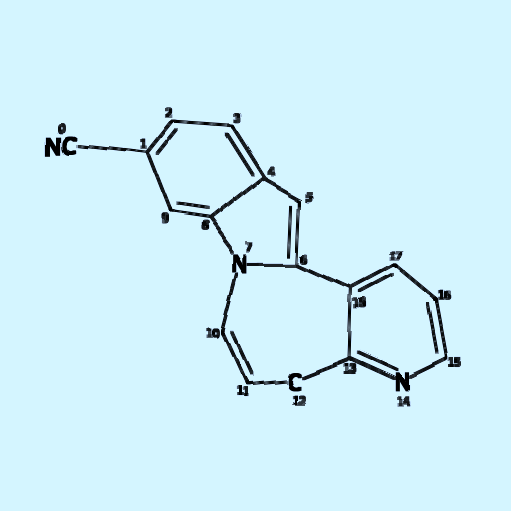 N#Cc1ccc2cc3n(c2c1)C=CCc1ncccc1-3